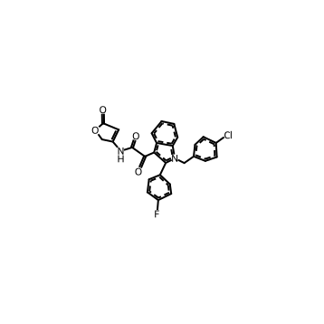 O=C1C=C(NC(=O)C(=O)c2c(-c3ccc(F)cc3)n(Cc3ccc(Cl)cc3)c3ccccc23)CO1